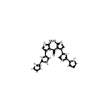 Nc1occ(-c2cnc(-c3ccco3)s2)c1C(=O)c1c(-c2cnc(-c3ccco3)s2)coc1N